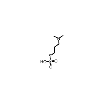 CN(C)CCCSS(=O)(=O)O